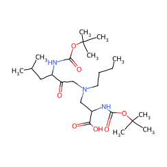 CCCCN(CC(=O)C(CC(C)C)NC(=O)OC(C)(C)C)CC(NC(=O)OC(C)(C)C)C(=O)O